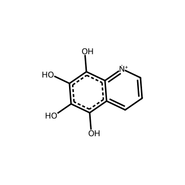 Oc1c(O)c(O)c2c(c1O)=CC=C[N+]=2